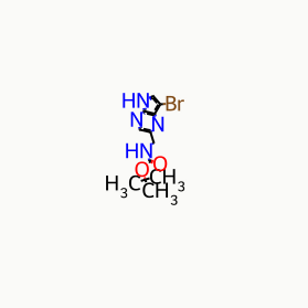 CC(C)(C)OC(=O)NCc1cnc2[nH]cc(Br)c2n1